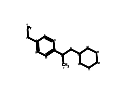 CC(C)Cc1ccc(C(C)CC2CCCCC2)cc1